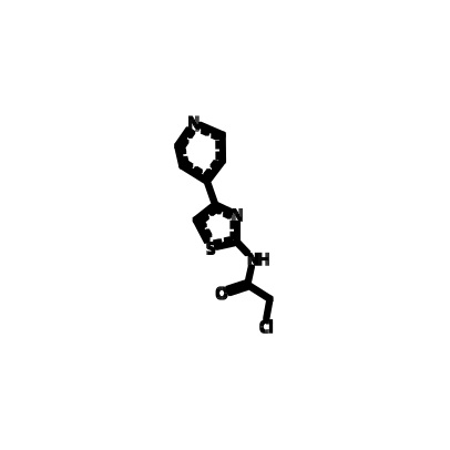 O=C(CCl)Nc1nc(-c2ccncc2)cs1